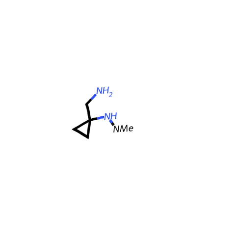 CNNC1(CN)CC1